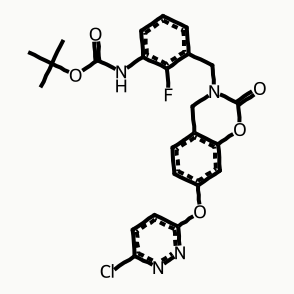 CC(C)(C)OC(=O)Nc1cccc(CN2Cc3ccc(Oc4ccc(Cl)nn4)cc3OC2=O)c1F